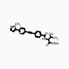 COC(=O)C(NC(=O)c1ccc(C#Cc2ccc(-c3ccnn3C)nc2)cc1)C(C)O